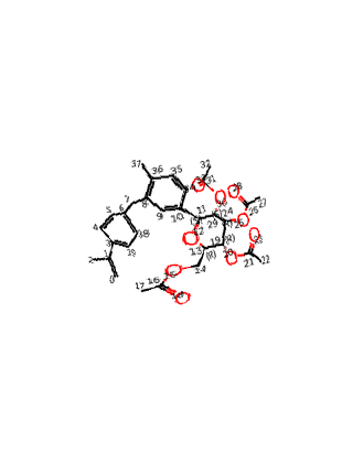 C=C(C)c1ccc(Cc2cc([C@@H]3O[C@H](COC(C)=O)[C@@H](OC(C)=O)[C@H](OC(C)=O)[C@H]3OC(C)=O)ccc2C)cc1